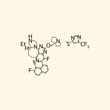 C#Cc1c(F)ccc2cccc(-c3nc4c5c(nc(OC[C@@]67CCCN6[C@H](CSc6cc(C(F)(F)F)ncn6)CC7)nc5c3F)N3CCN[C@@H](CC)[C@H]3CCC4)c12